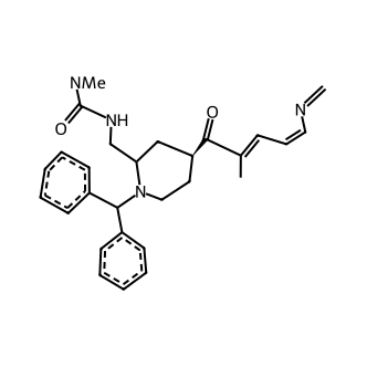 C=N/C=C\C=C(/C)C(=O)[C@H]1CCN(C(c2ccccc2)c2ccccc2)C(CNC(=O)NC)C1